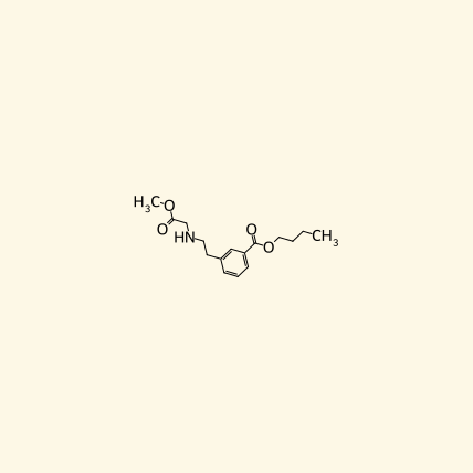 CCCCOC(=O)c1cccc(CCNCC(=O)OC)c1